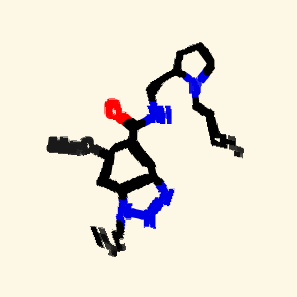 C=CCN1CCCC1CNC(=O)c1cc2nnn(C)c2cc1OC